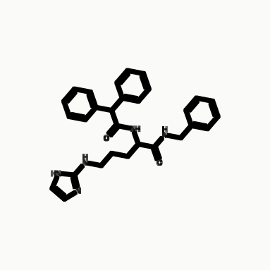 O=C(NCc1ccccc1)C(CCCNc1ncc[nH]1)NC(=O)C(c1ccccc1)c1ccccc1